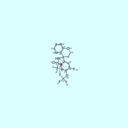 CC(C)(C)S(=O)(=O)NC1(c2ccc(OC(F)(F)F)c(F)c2)CCOc2nccnc21